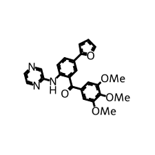 COc1cc(C(=O)c2cc(-c3ccco3)ccc2Nc2cnccn2)cc(OC)c1OC